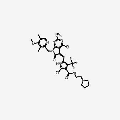 COc1c(C)cnc(CN2C(=O)/C(=C\c3[nH]c(Cl)c(C(=O)NCCN4CCCC4)c3C(F)(F)F)c3c(Cl)nc(N)nc32)c1C